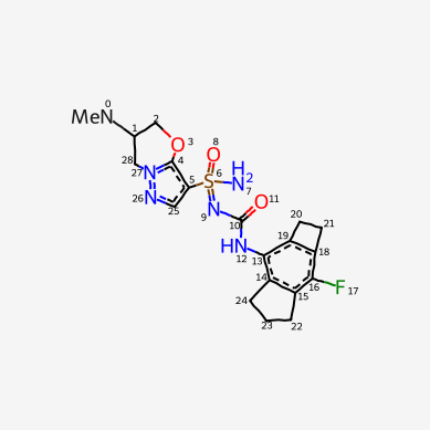 CNC1COc2c(S(N)(=O)=NC(=O)Nc3c4c(c(F)c5c3CC5)CCC4)cnn2C1